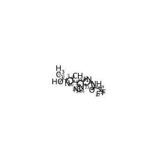 CC[C@H](O)c1cc(C)c(-c2cc3cnc(NC(=O)C4CC4(F)F)cc3n3ccnc23)cn1